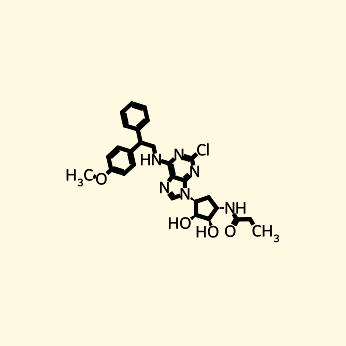 CCC(=O)N[C@H]1C[C@@H](n2cnc3c(NCC(c4ccccc4)c4ccc(OC)cc4)nc(Cl)nc32)[C@H](O)[C@@H]1O